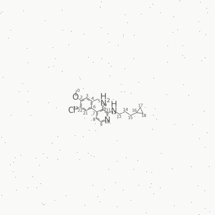 COc1cc(C)c(-c2ccnc(NCCCC3CC3)c2N)cc1Cl